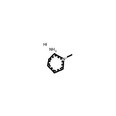 C[n+]1ccccc1.I.N